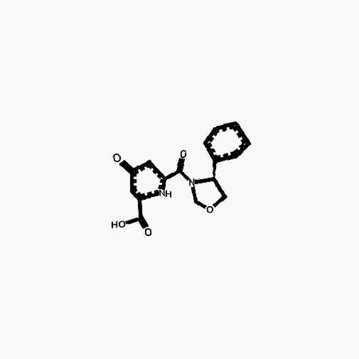 O=C(O)c1cc(=O)cc(C(=O)N2COC[C@@H]2c2ccccc2)[nH]1